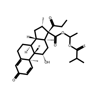 CCC(=O)[C@]1(C(=O)OC(C)OC(=S)C(C)C)[C@@H](C)C[C@H]2[C@@H]3CCC4=CC(=O)C=C[C@]4(C)[C@@]3(F)[C@@H](O)C[C@@]21C